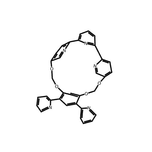 c1ccc(-c2cc(-c3ccccn3)c3cc2OCOc2ccc(nc2)-c2cccc(n2)-c2ccc(cn2)OCO3)nc1